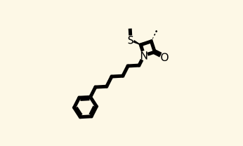 CS[C@H]1[C@H](C)C(=O)N1CCCCCCc1ccccc1